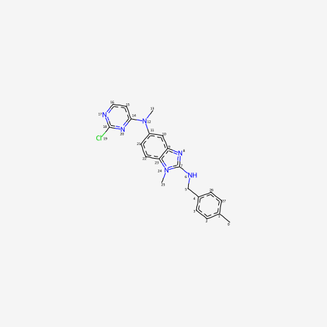 Cc1ccc(CNc2nc3cc(N(C)c4ccnc(Cl)n4)ccc3n2C)cc1